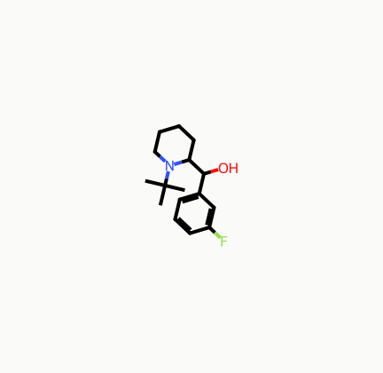 CC(C)(C)N1CCCCC1C(O)c1cccc(F)c1